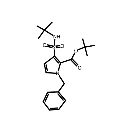 CC(C)(C)NS(=O)(=O)c1ccn(Cc2ccccc2)c1C(=O)OC(C)(C)C